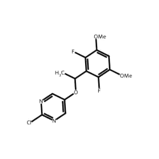 COc1cc(OC)c(F)c(C(C)Oc2cnc(Cl)nc2)c1F